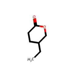 CCC1CCC(=O)OC1